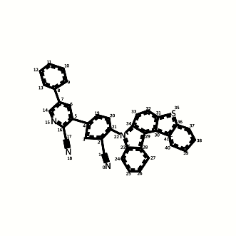 N#Cc1cc(-c2cc(-c3ccccc3)cnc2C#N)ccc1-n1c2ccccc2c2c3c(ccc21)sc1ccccc13